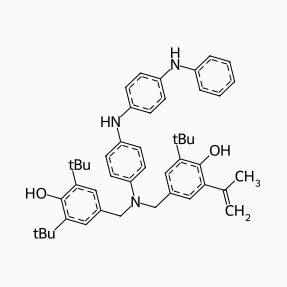 C=C(C)c1cc(CN(Cc2cc(C(C)(C)C)c(O)c(C(C)(C)C)c2)c2ccc(Nc3ccc(Nc4ccccc4)cc3)cc2)cc(C(C)(C)C)c1O